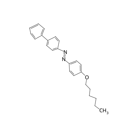 CCCCCCOc1ccc(/N=N/c2ccc(-c3ccccc3)cc2)cc1